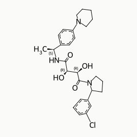 C[C@H](NC(=O)[C@H](O)[C@@H](O)C(=O)N1CCCC1c1cccc(Cl)c1)c1ccc(N2CCCCC2)cc1